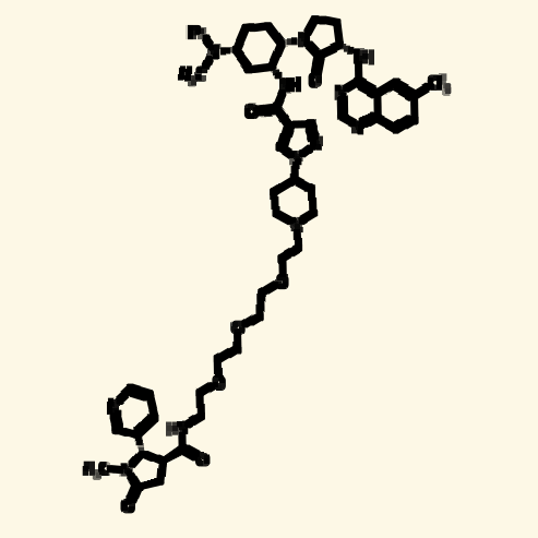 CC(C)N(C)[C@@H]1CC[C@H](N2CC[C@H](Nc3ncnc4ccc(C(F)(F)F)cc34)C2=O)[C@H](NC(=O)c2cnn(C3CCN(CCOCCOCCOCCNC(=O)[C@H]4CC(=O)N(C)[C@@H]4c4cccnc4)CC3)c2)C1